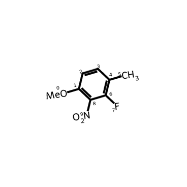 COc1ccc(C)c(F)c1[N+](=O)[O-]